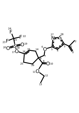 C=C(C)c1cc(OCC2(C(=O)OCC)CC=C(OS(=O)(=O)C(F)(F)F)CC2)ns1